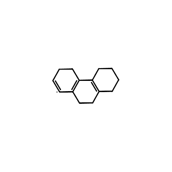 [C]1=CCCC2=C1CCC1=C2CCCC1